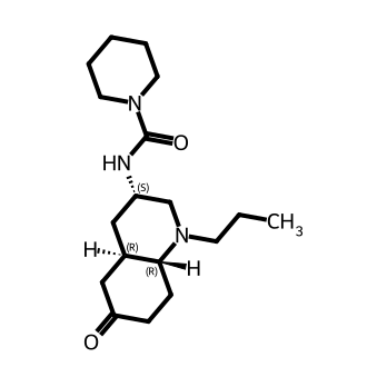 CCCN1C[C@@H](NC(=O)N2CCCCC2)C[C@@H]2CC(=O)CC[C@H]21